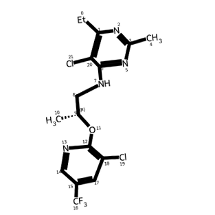 CCc1nc(C)nc(NC[C@@H](C)Oc2ncc(C(F)(F)F)cc2Cl)c1Cl